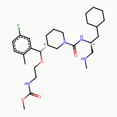 CNC[C@H](CC1CCCCC1)NC(=O)N1CCC[C@@H](C(OCCNC(=O)OC)c2cc(F)ccc2C)C1